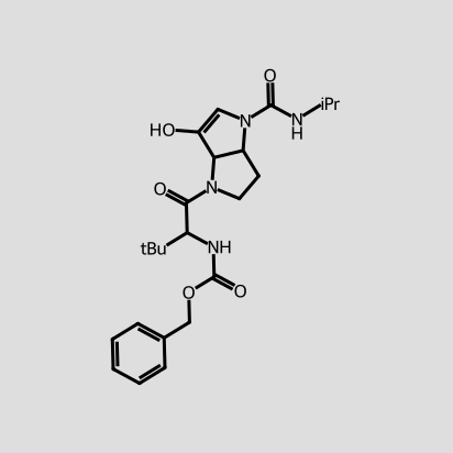 CC(C)NC(=O)N1C=C(O)C2C1CCN2C(=O)C(NC(=O)OCc1ccccc1)C(C)(C)C